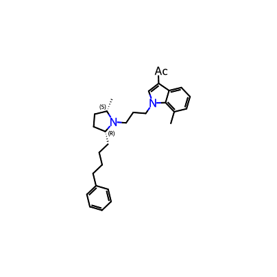 CC(=O)c1cn(CCCN2[C@H](CCCCc3ccccc3)CC[C@@H]2C)c2c(C)cccc12